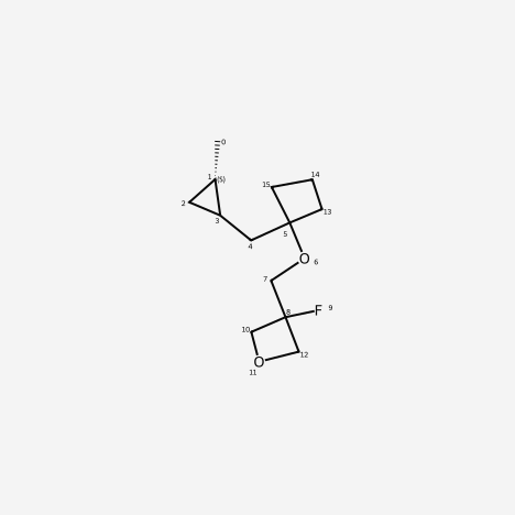 C[C@H]1CC1CC1(OCC2(F)COC2)CCC1